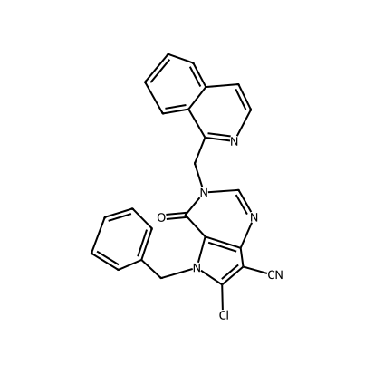 N#Cc1c(Cl)n(Cc2ccccc2)c2c(=O)n(Cc3nccc4ccccc34)cnc12